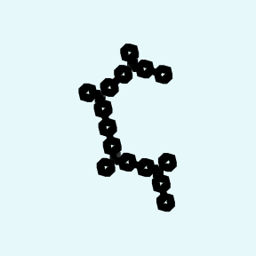 C1=CCC(c2ccc(N(c3ccccc3)c3ccc(-c4ccc(N(c5ccccc5)c5ccc(-c6ccc(-c7ccc(N(c8ccccc8)c8ccc(-c9ccc(N(C%10=CCCC=C%10)c%10ccc(-c%11ccccc%11)cc%10)cc9)cc8)cc7)cc6)cc5)cc4)cc3)cc2)C=C1